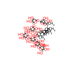 C[C@H](CC[C@@H](O[C@H]1C[C@@H](O)C[C@@H](CO[C@H]2C[C@@H](O)[C@H](O)[C@@H](CO[C@@H]3O[C@H](CO)[C@@H](O)[C@H](O)[C@H]3O)O2)O1)C(C)(C)O)[C@H]1CC[C@@]2(C)[C@@H]3CC=C4[C@@H](CC[C@H](O)[C@@]4(C)CO[C@@H]4O[C@H](CO[C@@H]5O[C@H](CO)[C@@H](O)[C@H](O)[C@H]5O)[C@@H](O)[C@H](O)[C@H]4O[C@@H]4O[C@H](O)[C@@H](O[C@@H]5O[C@H](CO)[C@@H](O)[C@H](O)C5O)[C@H](O)[C@H]4O)[C@]3(C)C(=O)C[C@]12C